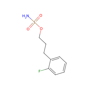 NS(=O)(=O)OCCCc1ccccc1F